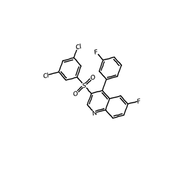 O=S(=O)(c1cc(Cl)cc(Cl)c1)c1cnc2ccc(F)cc2c1-c1cccc(F)c1